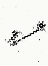 C[C@H](Cn1cnc2c(N)ncnc21)OCP(=O)(O)OCCSCCCCCCCCCCCCS(C)(C)c1c(F)c(F)c(F)c(F)c1F